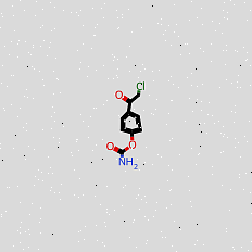 NC(=O)Oc1ccc(C(=O)CCl)cc1